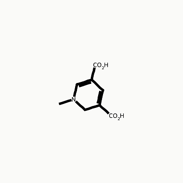 CN1C=C(C(=O)O)C=C(C(=O)O)C1